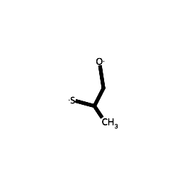 CC([S])C[O]